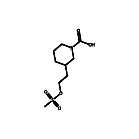 CS(=O)(=O)OCCC1CCCN(C(=O)O)C1